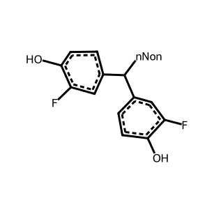 CCCCCCCCCC(c1ccc(O)c(F)c1)c1ccc(O)c(F)c1